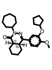 COc1ccc(C2=NN(C3CCCCCC3)C(=O)[C@H]3CCCC[C@@H]23)cc1OC1CCCC1